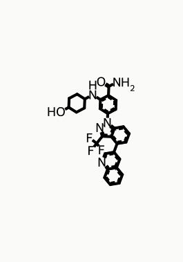 NC(=O)c1ccc(-n2nc(C(F)(F)F)c3c(-c4cnc5ccccc5c4)cccc32)cc1NC1CCC(O)CC1